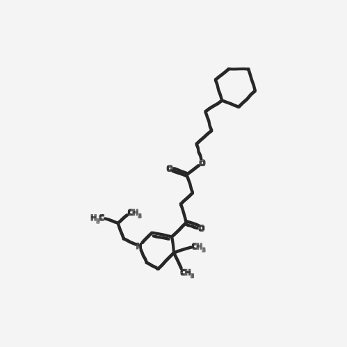 CC(C)CN1C=C(C(=O)CCC(=O)OCCCC2CCCCC2)C(C)(C)CC1